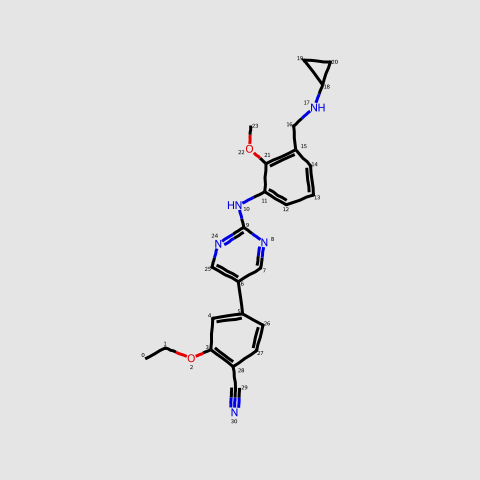 CCOc1cc(-c2cnc(Nc3cccc(CNC4CC4)c3OC)nc2)ccc1C#N